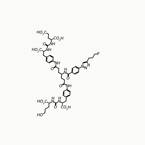 O=C(O)CC[C@H](NC(=O)N[C@@H](Cc1ccc(NC(=O)CCC(CCC(=O)Nc2ccc(C[C@H](NC(=O)N[C@@H](CCCO)C(=O)O)C(=O)O)cc2)NC(=O)c2ccc(-n3cc(CCCF)nn3)cc2)cc1)C(=O)O)C(=O)O